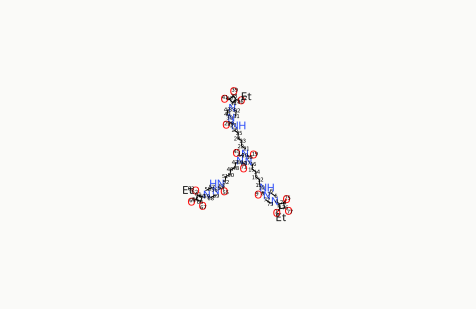 CCOc1c(N2CCN(C(=O)NCCCCCCn3c(=O)n(CCCCCCNC(=O)N4CCN(c5c(OCC)c(=O)c5=O)CC4)c(=O)n(CCCCCCNC(=O)N4CCN(c5c(OCC)c(=O)c5=O)CC4)c3=O)CC2)c(=O)c1=O